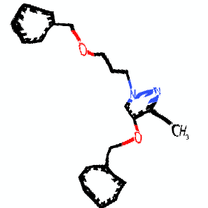 Cc1nn(CCCOCc2ccccc2)cc1OCc1ccccc1